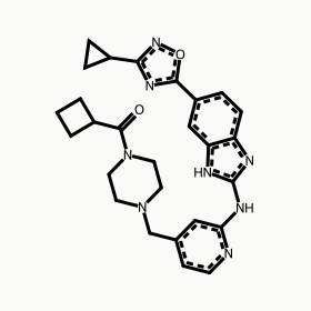 O=C(C1CCC1)N1CCN(Cc2ccnc(Nc3nc4ccc(-c5nc(C6CC6)no5)cc4[nH]3)c2)CC1